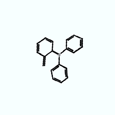 C=C1C=CC=CC1N(c1ccccc1)c1ccccc1